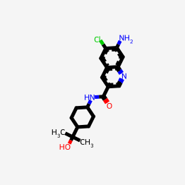 CC(C)(O)C1CCC(NC(=O)c2cnc3cc(N)c(Cl)cc3c2)CC1